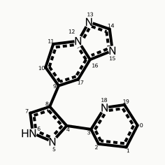 c1ccc(-c2n[nH]cc2-c2ccn3ncnc3c2)nc1